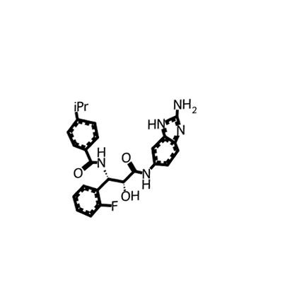 CC(C)c1ccc(C(=O)N[C@@H](c2ccccc2F)[C@@H](O)C(=O)Nc2ccc3nc(N)[nH]c3c2)cc1